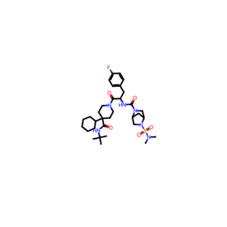 CN(C)S(=O)(=O)N1CC2CC1CN2C(=O)NC(Cc1ccc(F)cc1)C(=O)N1CCC(C(=O)NC(C)(C)C)(C2CCCCC2)CC1